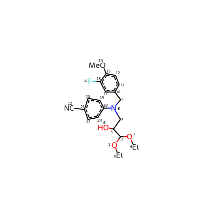 CCOC(OCC)C(O)CN(Cc1ccc(OC)c(F)c1)c1ccc(C#N)cc1